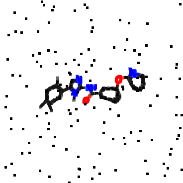 Cc1cc(C)c(-c2cnc(NC(=O)c3cccc(Oc4ccccn4)c3)n2C)cc1C